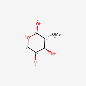 CO[C@@H]1[C@@H](O)[C@@H](O)CO[C@H]1O